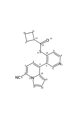 N#Cc1ccc(-c2cnccc2SC(=O)C2CCC2)c2cccn12